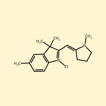 CC[N+]1=C(C=C2CCCN2C)C(C)(C)c2cc(C)ccc21